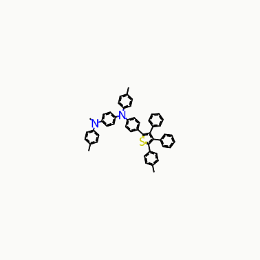 Cc1ccc(-c2sc(-c3ccc(N(c4ccc(C)cc4)c4ccc(N(C)c5ccc(C)cc5)cc4)cc3)c(-c3ccccc3)c2-c2ccccc2)cc1